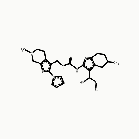 CCOC(O)c1c(NC(=O)NCc2c(-n3cccc3)sc3c2CCN(C)C3)sc2c1CC(C)CC2